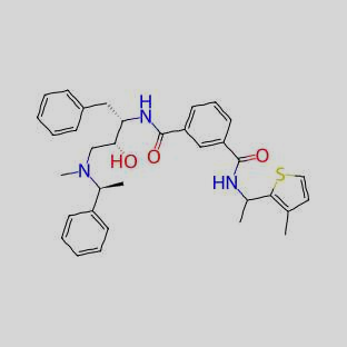 Cc1ccsc1C(C)NC(=O)c1cccc(C(=O)N[C@@H](Cc2ccccc2)[C@H](O)CN(C)[C@@H](C)c2ccccc2)c1